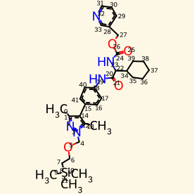 Cc1nn(COCC[Si](C)(C)C)c(C)c1-c1ccc(NC(=O)C(NC(=O)OCc2cccnc2)C2CCCCC2)cc1